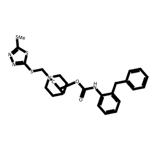 CSc1nnc(SC[N+]23CCC(CC2)C(OC(=O)Nc2ccccc2Cc2ccccc2)C3)s1